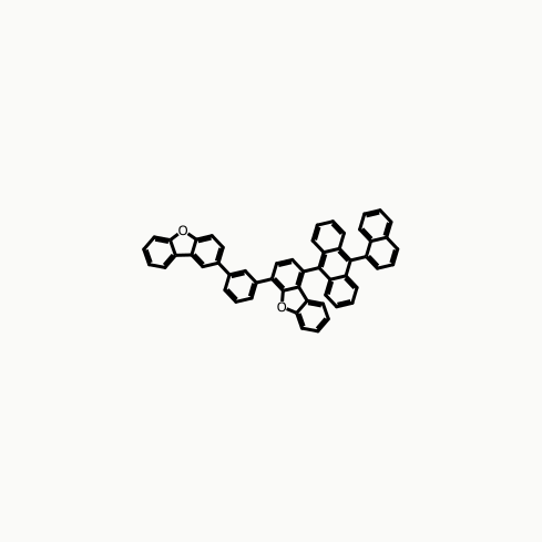 c1cc(-c2ccc3oc4ccccc4c3c2)cc(-c2ccc(-c3c4ccccc4c(-c4cccc5ccccc45)c4ccccc34)c3c2oc2ccccc23)c1